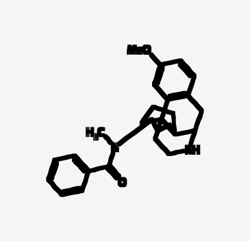 COc1ccc2c(c1)C13CCNC(C2)C12CCC(N(C)C(=O)c1ccccc1)C3CC2